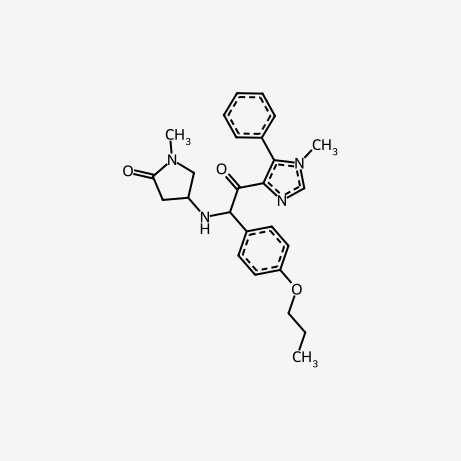 CCCOc1ccc(C(NC2CC(=O)N(C)C2)C(=O)c2ncn(C)c2-c2ccccc2)cc1